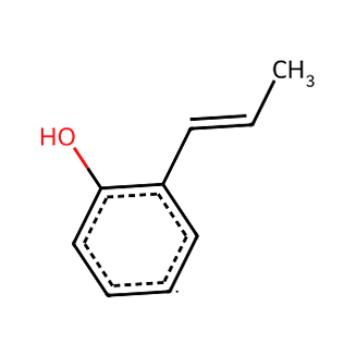 CC=Cc1c[c]ccc1O